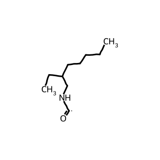 CCCCCC(CC)CN[C]=O